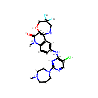 CN1CCCN(c2ncc(Cl)c(Nc3ccc4c(c3)c3c(c(=O)n4C)OCC(F)(F)CN3)n2)CC1